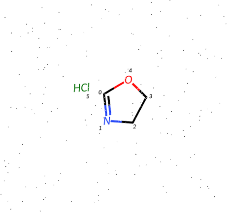 C1=NCCO1.Cl